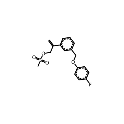 C=C(COS(C)(=O)=O)c1cccc(COc2ccc(F)cc2)c1